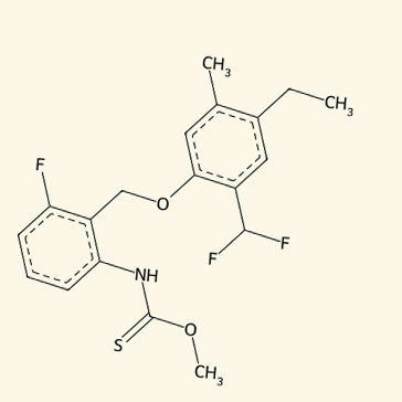 CCc1cc(C(F)F)c(OCc2c(F)cccc2NC(=S)OC)cc1C